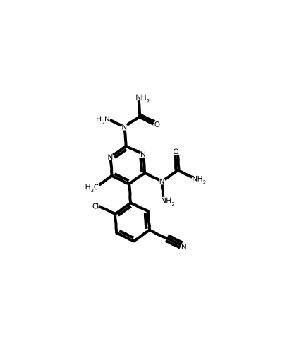 Cc1nc(N(N)C(N)=O)nc(N(N)C(N)=O)c1-c1cc(C#N)ccc1Cl